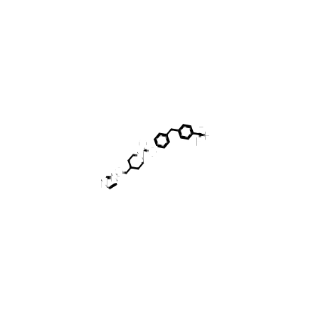 O=C(Oc1ccc(Cc2ccc(C(F)(F)F)cc2)cc1)N1CCC(COn2ccnc2)CC1